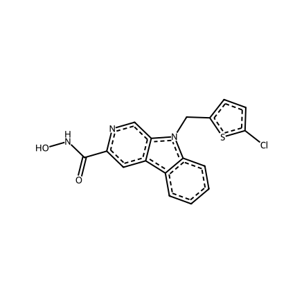 O=C(NO)c1cc2c3ccccc3n(Cc3ccc(Cl)s3)c2cn1